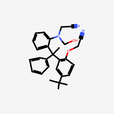 CC(C)(C)c1ccc(OCC#N)c(C(C)(c2ccccc2)c2ccccc2N(CO)CC#N)c1